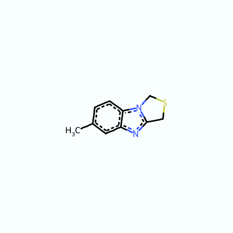 Cc1ccc2c(c1)nc1n2CSC1